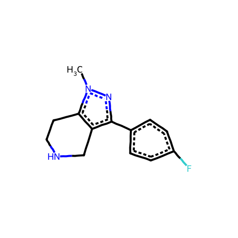 Cn1nc(-c2ccc(F)cc2)c2c1CCNC2